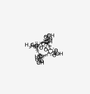 CC(=O)COc1c2cc(S(=O)(=O)O)cc1Cc1cc(S(=O)(=O)O)cc(c1O)Cc1cc(C)cc(c1O)Cc1cc(S(=O)(=O)O)cc(c1O)C2